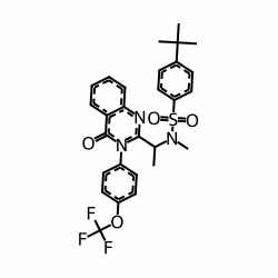 CC(c1nc2ccccc2c(=O)n1-c1ccc(OC(F)(F)F)cc1)N(C)S(=O)(=O)c1ccc(C(C)(C)C)cc1